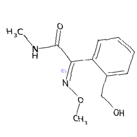 CNC(=O)/C(=N/OC)c1ccccc1CO